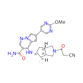 COc1ncc(-c2cc3c(N[C@@H]4C[C@@H]5CN(C(=O)CC#N)C[C@H]5[C@@H]4C)c(C(N)=O)cnn3c2)cn1